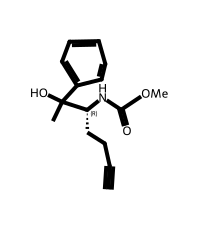 C#CCC[C@@H](NC(=O)OC)C(C)(O)c1ccccc1